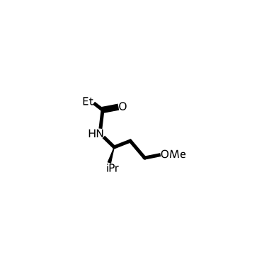 CCC(=O)N[C@@H](CCOC)C(C)C